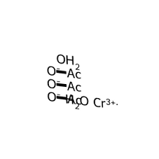 CC(=O)[O-].CC(=O)[O-].CC(=O)[O-].O.O.[Cr+3]